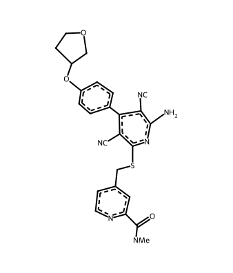 [C-]#[N+]c1c(N)nc(SCc2ccnc(C(=O)NC)c2)c(C#N)c1-c1ccc(OC2CCOC2)cc1